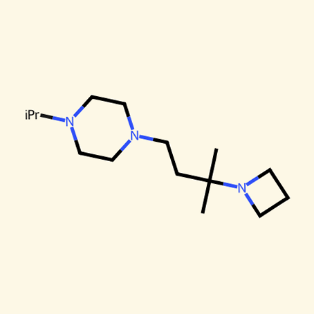 CC(C)N1CCN(CCC(C)(C)N2CCC2)CC1